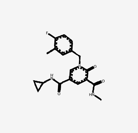 CNC(=O)c1cc(C(=O)NC2CC2)cn(Cc2ccc(F)c(C)c2)c1=O